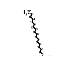 [C]CCCCCCCCCCCCCCCCC